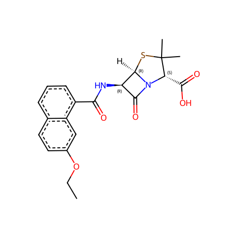 CCOc1ccc2cccc(C(=O)N[C@@H]3C(=O)N4[C@@H]3SC(C)(C)[C@@H]4C(=O)O)c2c1